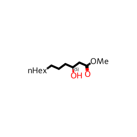 CCCCCCCCC[C@H](O)CC(=O)OC